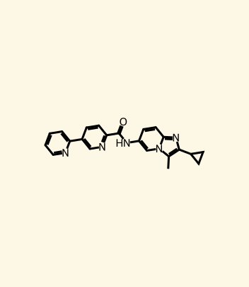 Cc1c(C2CC2)nc2ccc(NC(=O)c3ccc(-c4ccccn4)cn3)cn12